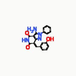 Nc1c2c(nn1-c1ccccc1)/C(=C\c1cccc(O)c1)C(=O)NC2=O